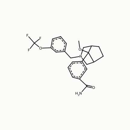 COC1(c2cccc(C(N)=O)c2)C2CCC1CN(Cc1cccc(OC(F)(F)F)c1)C2